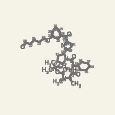 CC(C(=O)NC(C(=O)N1CCC[C@H]1c1nc(C(=O)c2cccc(OCCCCC=O)c2)cs1)C1CCCCC1)N(C)C(=O)OC(C)(C)C